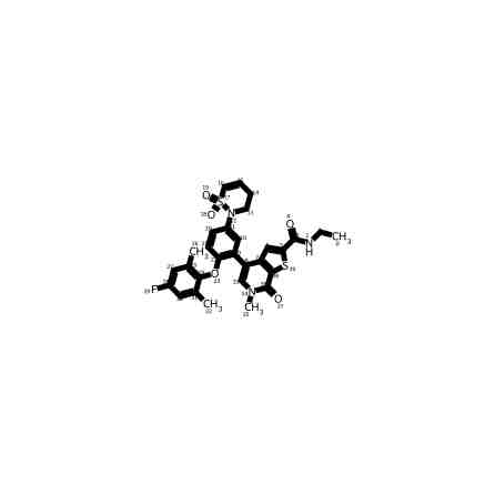 CCNC(=O)c1cc2c(-c3cc(N4CCC=CS4(=O)=O)ccc3Oc3c(C)cc(F)cc3C)cn(C)c(=O)c2s1